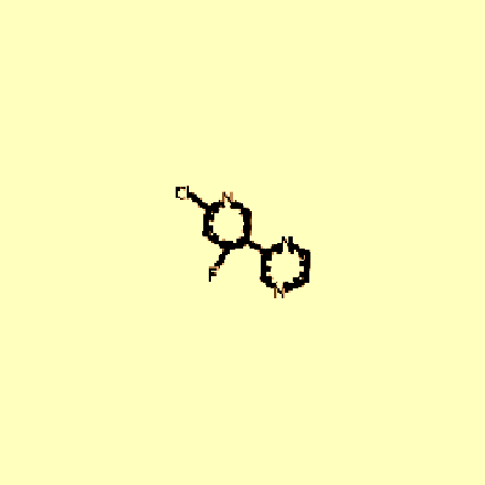 Fc1cc(Cl)ncc1-c1cnccn1